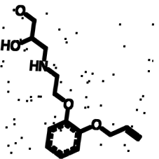 C=CCOc1ccccc1OCCNCC(O)C[O]